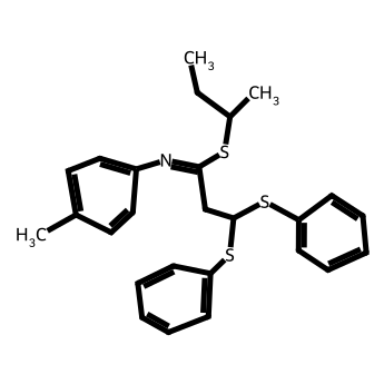 CCC(C)SC(CC(Sc1ccccc1)Sc1ccccc1)=Nc1ccc(C)cc1